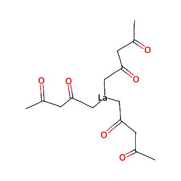 CC(=O)CC(=O)[CH2][La]([CH2]C(=O)CC(C)=O)[CH2]C(=O)CC(C)=O